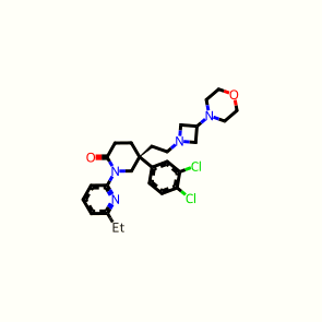 CCc1cccc(N2C[C@@](CCN3CC(N4CCOCC4)C3)(c3ccc(Cl)c(Cl)c3)CCC2=O)n1